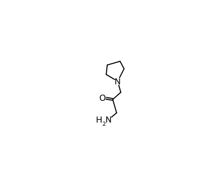 NCC(=O)CN1CCCC1